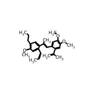 C=C(C)c1cc(OC)c(OC)cc1/C=C(\C)c1cc(CCC)c(OC)cc1/C=C\C